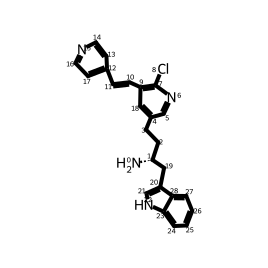 N[C@H](CCc1cnc(Cl)c(/C=C/c2ccncc2)c1)Cc1c[nH]c2ccccc12